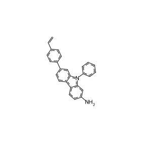 C=Cc1ccc(-c2ccc3c4ccc(N)cc4n(-c4ccccc4)c3c2)cc1